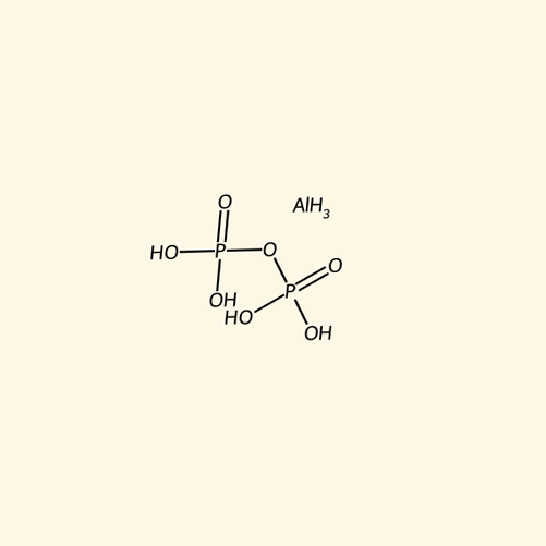 O=P(O)(O)OP(=O)(O)O.[AlH3]